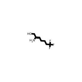 N/C(=C\CCCC(F)(F)F)CO